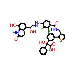 O=C(NCc1ccsc1-c1cccc([C@](O)(C(=O)O)c2ccccc2)c1)c1ccc(CNC[C@H](O)c2ccc(O)c3[nH]c(=O)ccc23)c(F)c1F